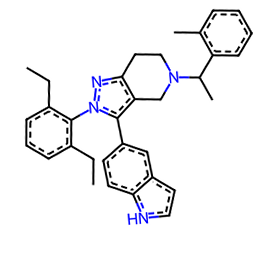 CCc1cccc(CC)c1-n1nc2c(c1-c1ccc3[nH]ccc3c1)CN(C(C)c1ccccc1C)CC2